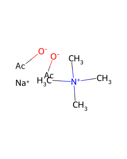 CC(=O)[O-].CC(=O)[O-].C[N+](C)(C)C.[Na+]